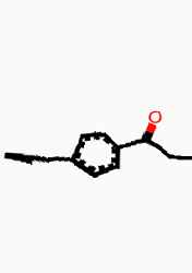 C=CCc1ccc(C(=O)CC)cc1